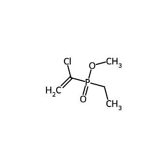 C=C(Cl)P(=O)(CC)OC